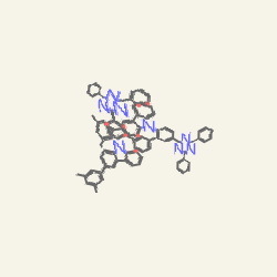 Cc1cc(C)cc(-c2ccc3c(c2)c2ccccc2n3-c2ccc(-c3nc(-c4ccccc4)nc(-c4ccccc4)n3)cc2-c2cccc(-c3cc(-c4nc(-c5ccccc5)nc(-c5ccccc5)n4)ccc3-n3c4ccccc4c4cc(-c5cc(C)cc(C)c5)ccc43)c2)c1